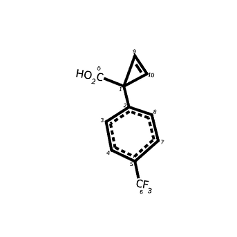 O=C(O)C1(c2ccc(C(F)(F)F)cc2)C=C1